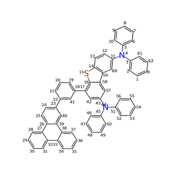 c1ccc(N(c2ccccc2)c2ccc3sc4c(-c5cccc(-c6ccc7c8ccccc8c8ccccc8c7c6)c5)cc(N(c5ccccc5)c5ccccc5)cc4c3c2)cc1